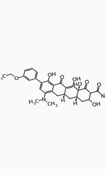 CCOc1cccc(-c2cc(N(C)C)c3c(c2O)C(=O)C2=C(O)[C@]4(O)C(=O)C(C(N)=O)C(O)C[C@@H]4C[C@@H]2C3)c1